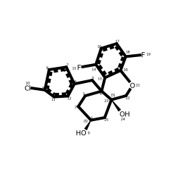 O[C@H]1CCC2(Cc3ccc(Cl)cc3)c3c(F)ccc(F)c3OC[C@]2(O)C1